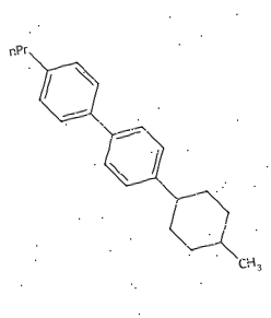 CCCc1ccc(-c2ccc(C3CCC(C)CC3)cc2)cc1